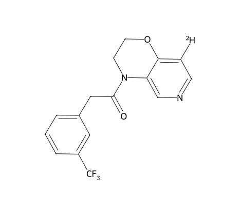 [2H]c1cncc2c1OCCN2C(=O)Cc1cccc(C(F)(F)F)c1